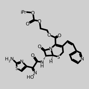 CC(C)OC(=O)OCCOC(=O)C1=C(/C=C\c2cccnc2)CS[C@H]2[C@H](NC(=O)C(=NO)c3csc(N)n3)C(=O)N12